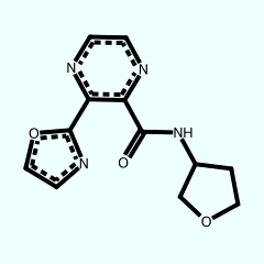 O=C(NC1CCOC1)c1nccnc1-c1ncco1